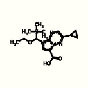 CCOC(n1cc(C(=O)O)c2nc(C3CC3)cnc21)[Si](C)(C)C